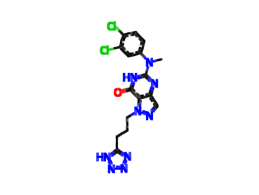 CN(c1ccc(Cl)c(Cl)c1)c1nc2cnn(CCCc3nnn[nH]3)c2c(=O)[nH]1